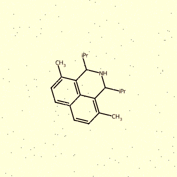 Cc1ccc2ccc(C)c3c2c1C(C(C)C)NC3C(C)C